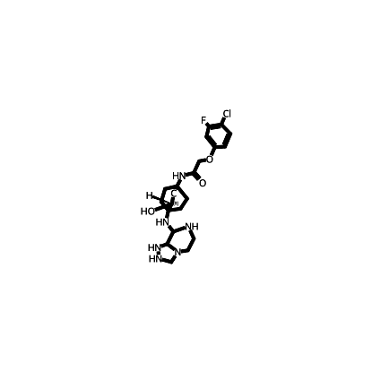 O=C(COc1ccc(Cl)c(F)c1)NC12CCC(NC3NCCN4CNNC34)(CC1)[C@H](O)C2